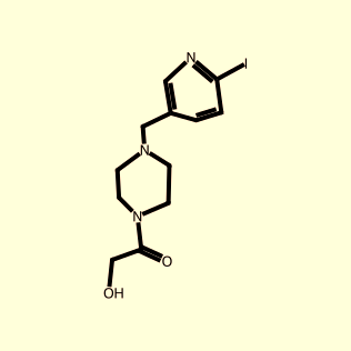 O=C(CO)N1CCN(Cc2ccc(I)nc2)CC1